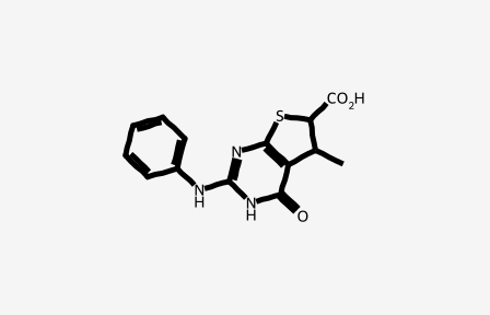 CC1c2c(nc(Nc3ccccc3)[nH]c2=O)SC1C(=O)O